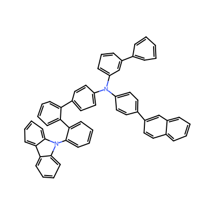 c1ccc(-c2cccc(N(c3ccc(-c4ccc5ccccc5c4)cc3)c3ccc(-c4ccccc4-c4ccccc4-n4c5ccccc5c5ccccc54)cc3)c2)cc1